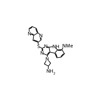 CNc1cccc2c1[nH]c1nc(Sc3cnc4cccnc4c3)nc(N3CC(N)C3)c12